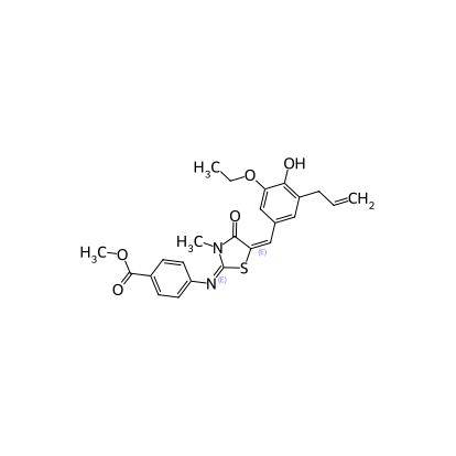 C=CCc1cc(/C=C2/S/C(=N/c3ccc(C(=O)OC)cc3)N(C)C2=O)cc(OCC)c1O